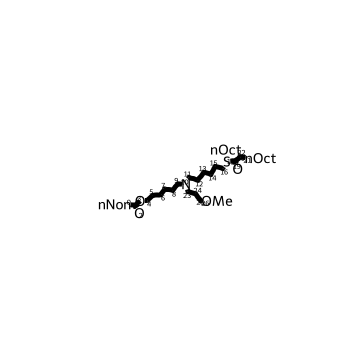 CCCCCCCCCC(=O)OCCCCCCN(CCCCCCSC(=O)C(CCCCCCCC)CCCCCCCC)CCCOC